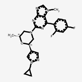 C[C@@H]1CN(c2nc(-c3ccc(F)cc3F)c3c(ncn3C)n2)C[C@@H](c2cnn(C3CC3)c2)O1